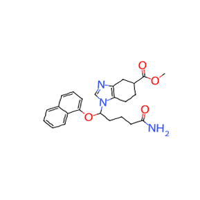 COC(=O)C1CCc2c(ncn2C(CCCC(N)=O)Oc2cccc3ccccc23)C1